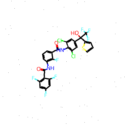 O=C(Nc1c(Cl)cc(C(O)(c2cccs2)C(F)(F)F)cc1Cl)c1cccc(NC(=O)c2c(F)cc(F)cc2F)c1F